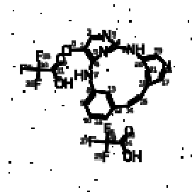 Clc1cnc2nc1Nc1cccc(c1)/C=C\c1cncc(c1)N2.O=C(O)C(F)(F)F.O=C(O)C(F)(F)F